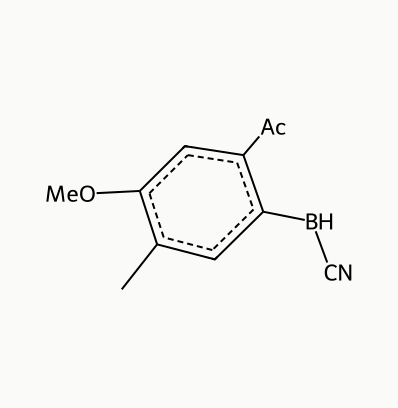 COc1cc(C(C)=O)c(BC#N)cc1C